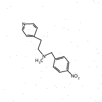 CN(CCc1ccncc1)Cc1ccc([N+](=O)[O-])cc1